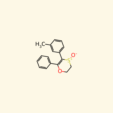 Cc1cccc(C2=C(c3ccccc3)OCC[S+]2[O-])c1